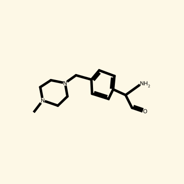 CN1CCN(Cc2ccc(C(N)C=O)cc2)CC1